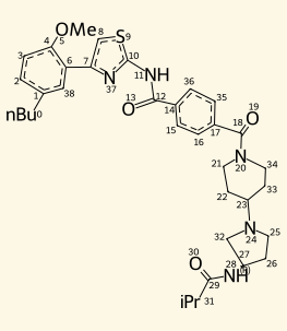 CCCCc1ccc(OC)c(-c2csc(NC(=O)c3ccc(C(=O)N4CCC(N5CC[C@@H](NC(=O)C(C)C)C5)CC4)cc3)n2)c1